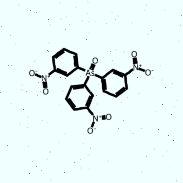 O=[N+]([O-])c1cccc([As](=O)(c2cccc([N+](=O)[O-])c2)c2cccc([N+](=O)[O-])c2)c1